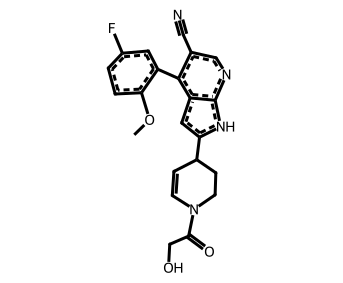 COc1ccc(F)cc1-c1c(C#N)cnc2[nH]c(C3C=CN(C(=O)CO)CC3)cc12